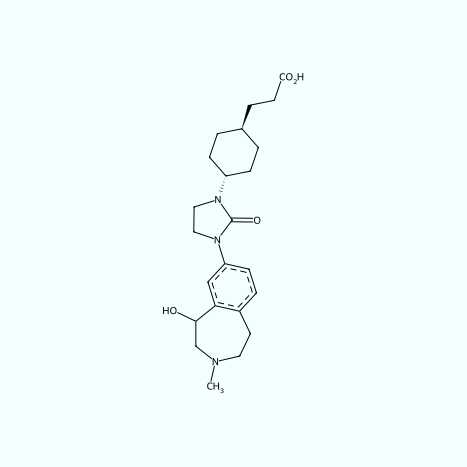 CN1CCc2ccc(N3CCN([C@H]4CC[C@H](CCC(=O)O)CC4)C3=O)cc2C(O)C1